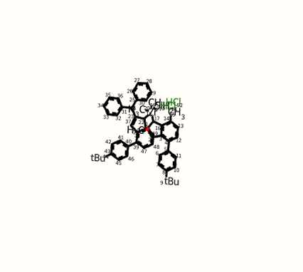 CC1=Cc2c(-c3ccc(C(C)(C)C)cc3)ccc(C)c2[CH]1[Zr]([CH3])([CH3])(=[SiH2])[CH]1C(C(c2ccccc2)c2ccccc2)=Cc2c(-c3ccc(C(C)(C)C)cc3)cccc21.Cl.Cl